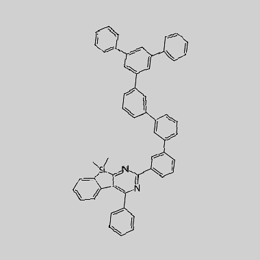 C[Si]1(C)c2ccccc2-c2c(-c3ccccc3)nc(-c3cccc(-c4cccc(-c5cccc(-c6cc(-c7ccccc7)cc(-c7ccccc7)c6)c5)c4)c3)nc21